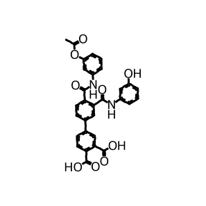 CC(=O)Oc1cccc(NC(=O)c2ccc(-c3ccc(C(=O)O)c(C(=O)O)c3)cc2C(=O)Nc2cccc(O)c2)c1